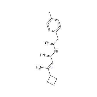 Cc1ccc(CC(=O)NC(=N)/C=C(\N)C2CCC2)cc1